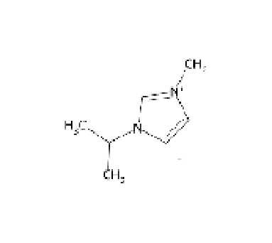 CC(C)n1cc[n+](C)c1.[I-]